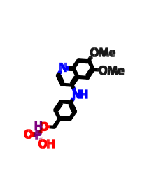 COc1cc2nccc(Nc3ccc(CO[PH](=O)O)cc3)c2cc1OC